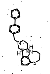 c1ccc(-c2ccc(CN3CC[C@@H]4[C@H](C3)c3cccc5c3N4CCCS5)cc2)cc1